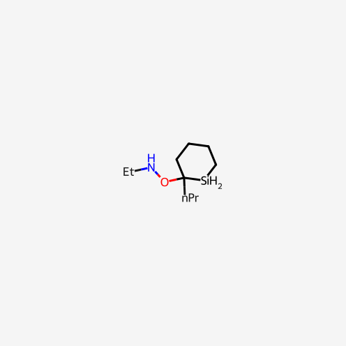 CCCC1(ONCC)CCCC[SiH2]1